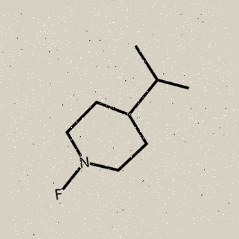 CC(C)C1CCN(F)CC1